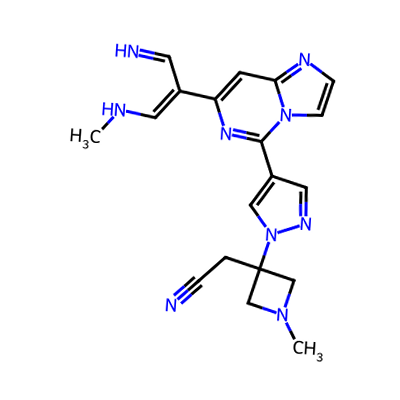 CN/C=C(\C=N)c1cc2nccn2c(-c2cnn(C3(CC#N)CN(C)C3)c2)n1